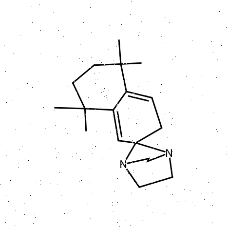 CC1(C)CCC(C)(C)C2=CC3(CC=C21)N1CCN3CC1